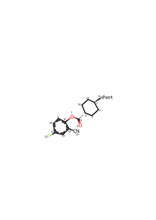 CCCCC[C@H]1CC[C@H](C(=O)Oc2ccc(F)cc2C#N)CC1